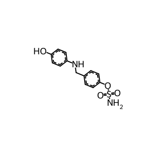 NS(=O)(=O)Oc1ccc(CNc2ccc(O)cc2)cc1